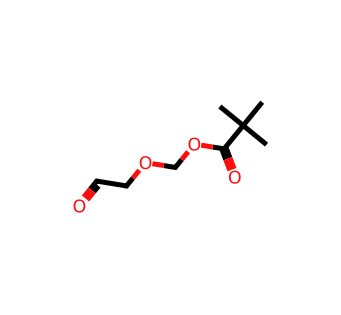 CC(C)(C)C(=O)OCOCC=O